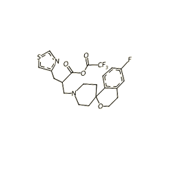 O=C(OC(=O)C(F)(F)F)C(Cc1cscn1)CN1CCC2(CC1)OCCc1cc(F)ccc12